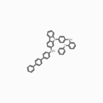 c1ccc(Oc2ccccc2Nc2ccc(-n3c4ccccc4c4ccc(Nc5ccc(-c6ccc(-c7ccccc7)cc6)cc5)cc43)cc2)cc1